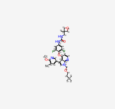 CCOc1ncc(-c2cn(COCC[Si](C)(C)C)c3nccc(Oc4c(F)cc(NC(=O)NCC5(C)COC5)cc4F)c23)cc1C#N